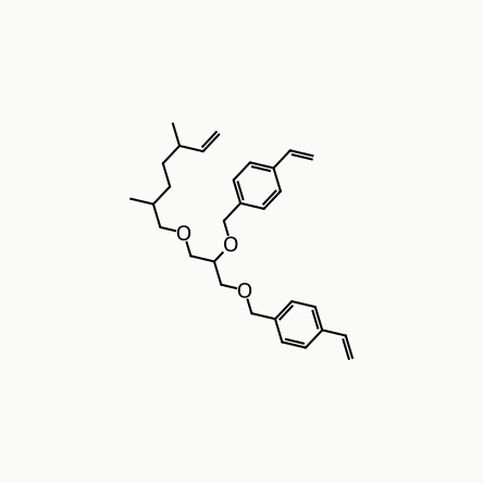 C=Cc1ccc(COCC(COCC(C)CCC(C)C=C)OCc2ccc(C=C)cc2)cc1